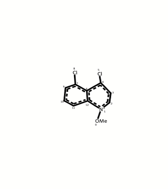 CO[n+]1ccc(Cl)c2c(Cl)cccc21